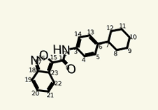 O=C(Nc1ccc(C2CCCCC2)cc1)c1onc2ccccc12